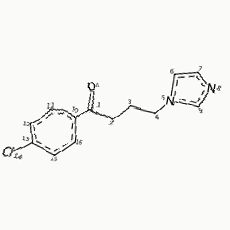 O=C(CCCn1ccnc1)c1ccc(Cl)cc1